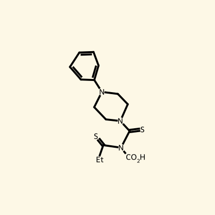 CCC(=S)N(C(=O)O)C(=S)N1CCN(c2ccccc2)CC1